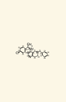 CC(Nc1ncnc2c1CN(Cc1ccccc1)CC2)c1ccc(Cl)cc1